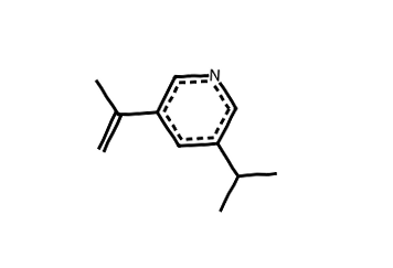 C=C(C)c1cncc(C(C)C)c1